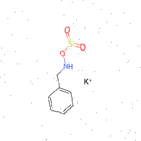 O=[S-](=O)ONCc1ccccc1.[K+]